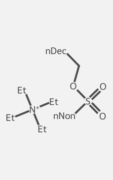 CCCCCCCCCCCOS(=O)(=O)CCCCCCCCC.CC[N+](CC)(CC)CC